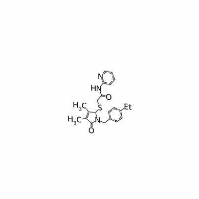 CCc1ccc(CN2C(=O)C(C)=C(C)C2SCC(=O)Nc2ccccn2)cc1